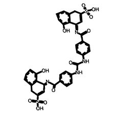 O=C(Nc1ccc(C(=O)N=C2C=C(S(=O)(=O)O)Cc3cccc(O)c32)cc1)Nc1ccc(C(=O)N=C2C=C(S(=O)(=O)O)Cc3cccc(O)c32)cc1